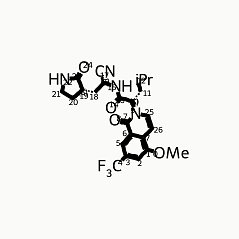 COc1cc(C(F)(F)F)cc2c(=O)n([C@@H](CC(C)C)C(=O)N[C@H](C#N)C[C@@H]3CCNC3=O)ccc12